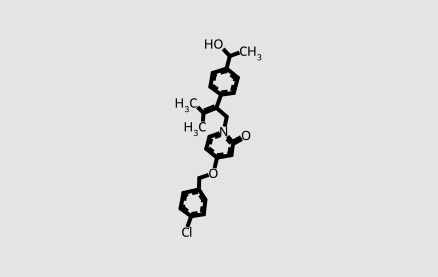 CC(C)=C(Cn1ccc(OCc2ccc(Cl)cc2)cc1=O)c1ccc(C(C)O)cc1